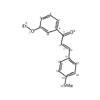 CCOc1cccc(C(=O)/C=C/c2ccc(SC)cc2)c1